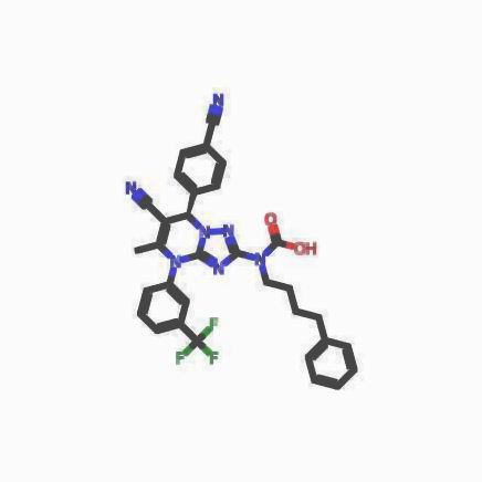 CC1=C(C#N)[C@@H](c2ccc(C#N)cc2)n2nc(N(CCCCc3ccccc3)C(=O)O)nc2N1c1cccc(C(F)(F)F)c1